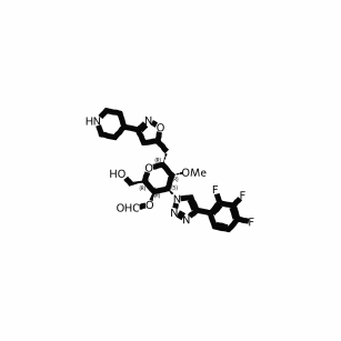 CO[C@@H]1[C@H](n2cc(-c3ccc(F)c(F)c3F)nn2)[C@@H](OC=O)[C@@H](CO)O[C@@H]1CC1CC(C2CCNCC2)=NO1